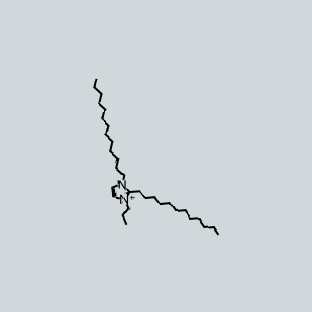 CCCCCCCCCCCCCn1cc[n+](CCC)c1CCCCCCCCCCCC